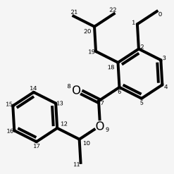 CCc1cccc(C(=O)OC(C)c2ccccc2)c1CC(C)C